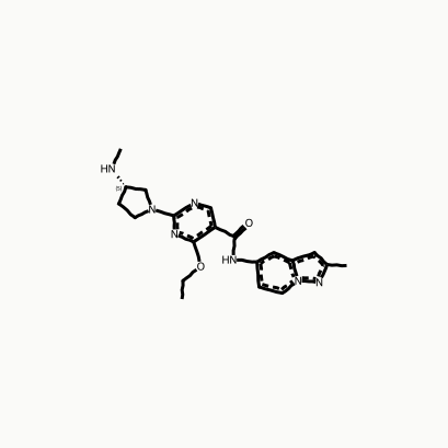 CCOc1nc(N2CC[C@H](NC)C2)ncc1C(=O)Nc1ccn2nc(C)cc2c1